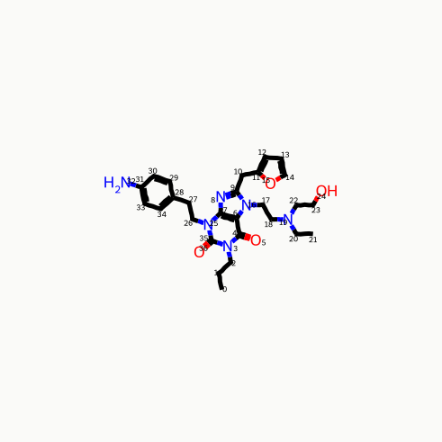 CCCn1c(=O)c2c(nc(Cc3ccco3)n2CCN(CC)CCO)n(CCc2ccc(N)cc2)c1=O